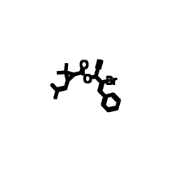 C#CC(OC(=O)C1C(C=C(C)C)C1(C)C)C(Br)=Cc1ccccc1